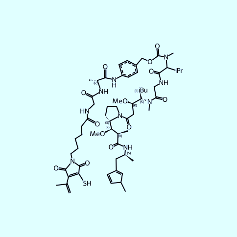 C=C(C)C1=C(S)C(=O)N(CCCCCC(=O)NCC(=O)N[C@H](C)C(=O)Nc2ccc(COC(=O)N(C)C(C(=O)NCC(=O)N(C)[C@@H]([C@H](C)CC)[C@@H](CC(=O)N3CCC[C@H]3[C@H](OC)[C@@H](C)C(=O)N[C@@H](C)CC3=CC(C)C=C3)OC)C(C)C)cc2)C1=O